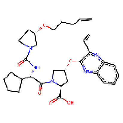 C=CCCCO[C@H]1CCN(C(=O)N[C@H](C(=O)N2C[C@H](Oc3nc4ccccc4nc3C=C)C[C@H]2C(=O)O)C2CCCC2)C1